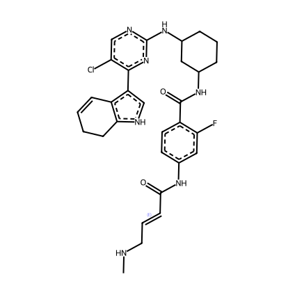 CNC/C=C/C(=O)Nc1ccc(C(=O)NC2CCCC(Nc3ncc(Cl)c(-c4c[nH]c5c4C=CCC5)n3)C2)c(F)c1